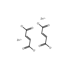 O=C([O-])C=CC(=O)[O-].O=C([O-])C=CC(=O)[O-].[Zn+2].[Zn+2]